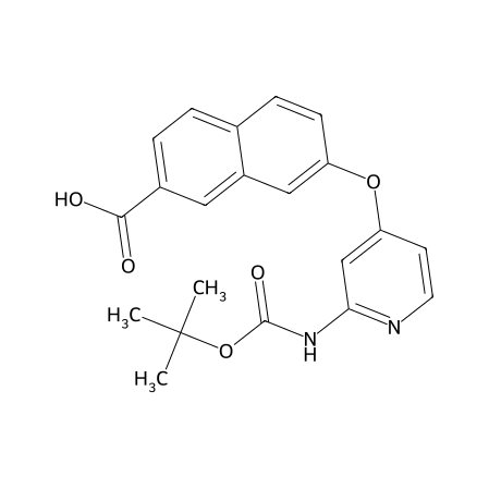 CC(C)(C)OC(=O)Nc1cc(Oc2ccc3ccc(C(=O)O)cc3c2)ccn1